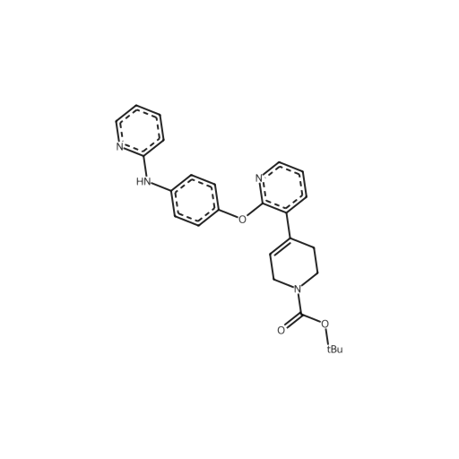 CC(C)(C)OC(=O)N1CC=C(c2cccnc2Oc2ccc(Nc3ccccn3)cc2)CC1